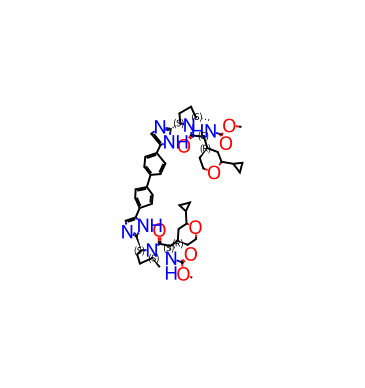 COC(=O)N[C@H](C(=O)N1[C@@H](C)CC[C@H]1c1ncc(-c2ccc(-c3ccc(-c4cnc([C@@H]5CC[C@H](C)N5C(=O)[C@@H](NC(=O)OC)[C@@H]5CCOC(C6CC6)C5)[nH]4)cc3)cc2)[nH]1)[C@@H]1CCOC(C2CC2)C1